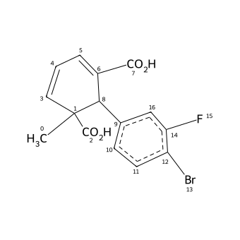 CC1(C(=O)O)C=CC=C(C(=O)O)C1c1ccc(Br)c(F)c1